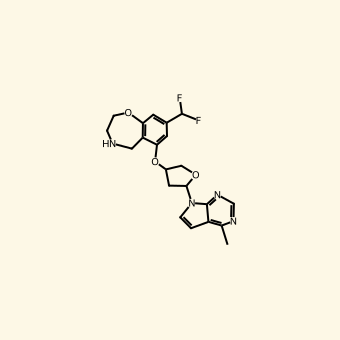 Cc1ncnc2c1ccn2C1CC(Oc2cc(C(F)F)cc3c2CNCCO3)CO1